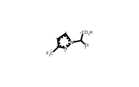 CCC(C(=O)O)n1ccc(C(F)(F)F)n1